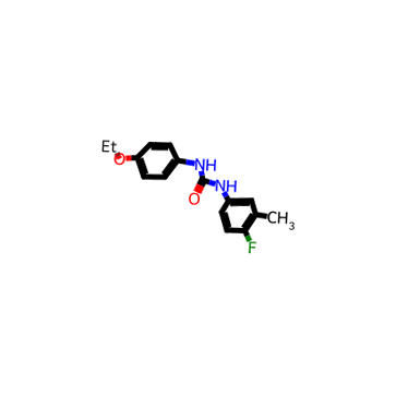 CCOc1ccc(NC(=O)Nc2ccc(F)c(C)c2)cc1